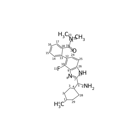 CC1CCC(C(N)c2nc3c(F)c(-c4ccccc4C(=O)N(C)C)ccc3[nH]2)CC1